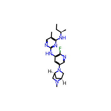 CC[C@@H](C)Nc1nc(Nc2cc(N3C[C@@H]4C[C@H]3CN4C)cnc2F)ncc1C